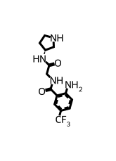 Nc1ccc(C(F)(F)F)cc1C(=O)NCC(=O)N[C@@H]1CCNC1